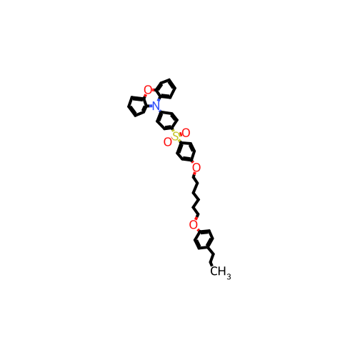 CCCc1ccc(OCCCCCCOc2ccc(S(=O)(=O)c3ccc(N4c5ccccc5Oc5ccccc54)cc3)cc2)cc1